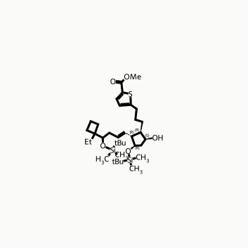 CCC1(C(CC=C[C@@H]2[C@@H](CCCc3ccc(C(=O)OC)s3)[C@@H](O)C[C@H]2O[Si](C)(C)C(C)(C)C)O[Si](C)(C)C(C)(C)C)CCC1